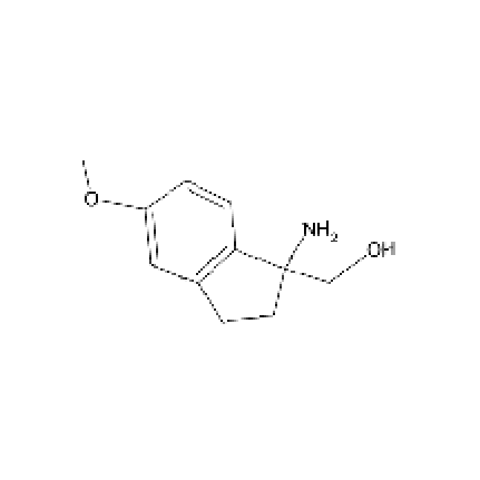 COc1ccc2c(c1)CCC2(N)CO